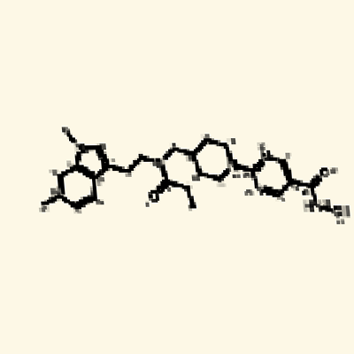 CCC(=O)N(CCc1cn(C)c2cc(C)ccc12)CC1CCN(c2ncc(C(=O)NO)cn2)CC1